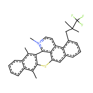 Cc1c2c(c(C)c3ccccc13)-c1c3c(cc4cccc(CC(C)(C)C(F)(F)F)c4c3cc[n+]1C)S2